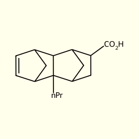 CCCC12C3C=CC(C3)C1C1CC2CC1C(=O)O